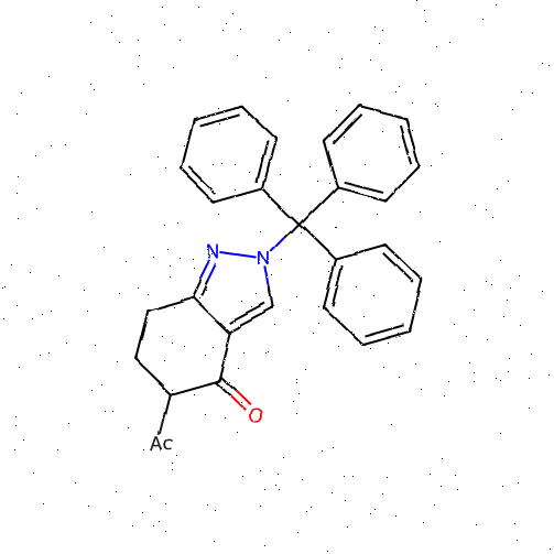 CC(=O)C1CCc2nn(C(c3ccccc3)(c3ccccc3)c3ccccc3)cc2C1=O